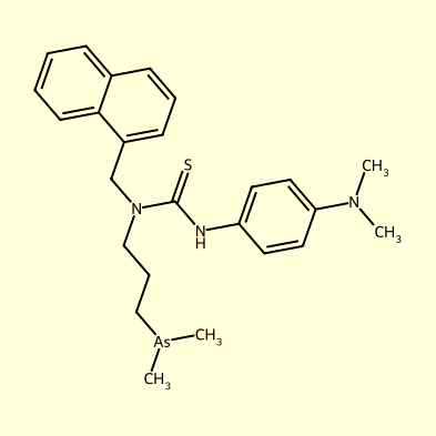 CN(C)c1ccc(NC(=S)N(CCC[As](C)C)Cc2cccc3ccccc23)cc1